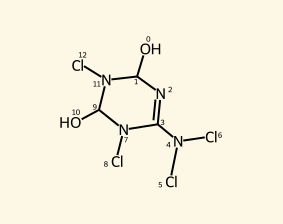 OC1N=C(N(Cl)Cl)N(Cl)C(O)N1Cl